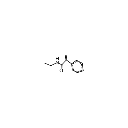 C=C(C(=O)NCC)c1ccccc1